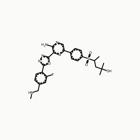 CNCc1ccc(-c2nnc(-c3nc(-c4ccc(S(=O)(=O)C(C)CC(C)(C)O)cc4)cnc3N)o2)c(F)c1